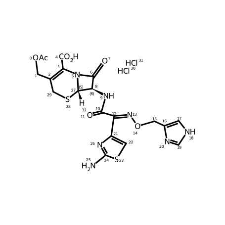 CC(=O)OCC1=C(C(=O)O)N2C(=O)[C@@H](NC(=O)C(=NOCc3c[nH]cn3)c3csc(N)n3)[C@@H]2SC1.Cl.Cl